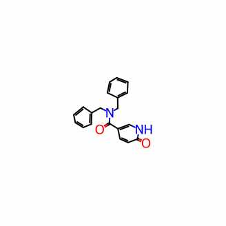 O=C(c1ccc(=O)[nH]c1)N(Cc1ccccc1)Cc1ccccc1